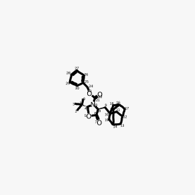 CC(C)(C)[C@H]1OC(=O)[C@H](CC23CC4CC(CC(C4)C2)C3)N1C(=O)OCc1ccccc1